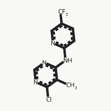 Cc1c(Cl)ncnc1Nc1ccc(C(F)(F)F)cn1